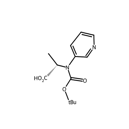 C[C@@H](C(=O)O)N(C(=O)OC(C)(C)C)c1cccnc1